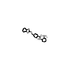 Nc1ccccc1NC(=O)c1ccc(CSc2nc3ccccc3s2)cc1